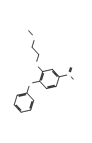 COCCOc1cc([N+](=O)[O-])ccc1Oc1ccccc1